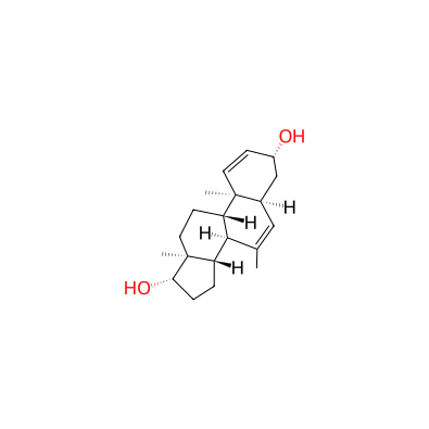 CC1=C[C@@H]2C[C@@H](O)C=C[C@]2(C)[C@H]2CC[C@]3(C)[C@@H](O)CC[C@H]3[C@H]12